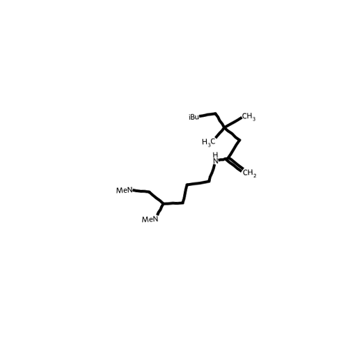 C=C(CC(C)(C)CC(C)CC)NCCCC(CNC)NC